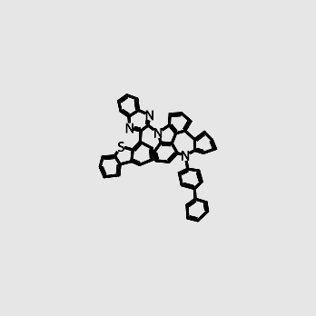 c1ccc(-c2ccc(-n3c4ccccc4c4cccc5c4c4c3cccc4n5-c3nc4ccccc4nc3-c3cccc4c3sc3ccccc34)cc2)cc1